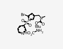 CN(Cc1cc(Br)n(S(=O)(=O)c2cccnc2)c1)C(=O)OC(C)(C)C.NC(=O)O